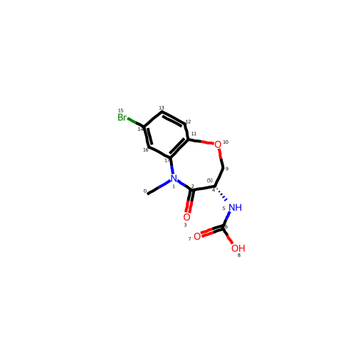 CN1C(=O)[C@@H](NC(=O)O)COc2ccc(Br)cc21